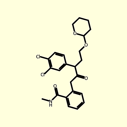 CNC(=O)c1ccccc1CC(=O)C(CCOC1CCCCO1)c1ccc(Cl)c(Cl)c1